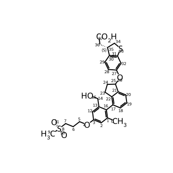 Cc1cc(OCCCS(C)(=O)=O)cc(CO)c1-c1cccc2c1CCC2Oc1ccc2c(c1)SC[C@H]2CC(=O)O